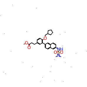 COC(=O)CCc1ccc(OCC2CCCC2)c(-c2ccc3cc(NS(=O)(=O)N(C)C)ccc3c2)c1